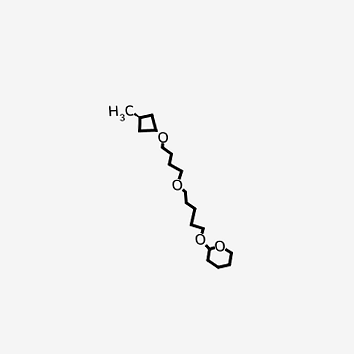 C[C@H]1C[C@H](OCCCCOCCCCCOC2CCCCO2)C1